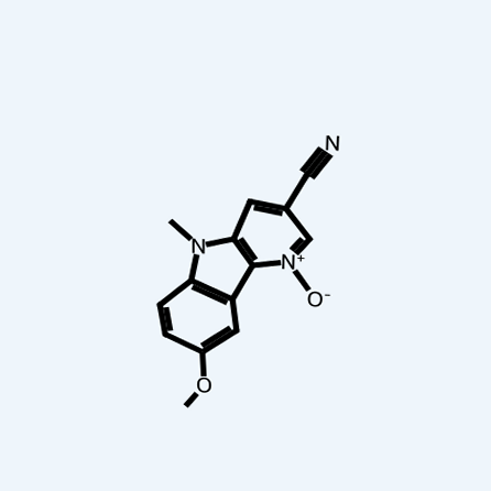 COc1ccc2c(c1)c1c(cc(C#N)c[n+]1[O-])n2C